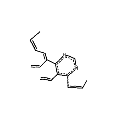 C=C/C(=C\C=C/C)c1ncnc(/C=C\C)c1C=C